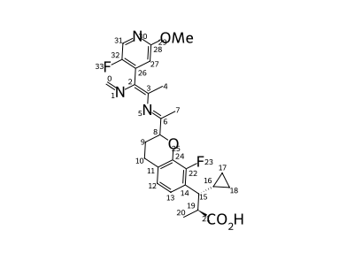 C=N/C(=C(C)\N=C(/C)C1CCc2ccc([C@H](C3CC3)[C@H](C)C(=O)O)c(F)c2O1)c1cc(OC)ncc1F